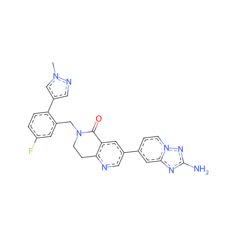 Cn1cc(-c2ccc(F)cc2CN2CCc3ncc(-c4ccn5nc(N)nc5c4)cc3C2=O)cn1